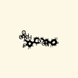 O=[SH](=O)NCc1cc(C2CCN(Cc3cc(-c4ccccc4)no3)CC2)ccc1F